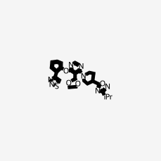 CC(C)c1noc(C2CCN(c3ncnc(Oc4ccccc4-c4csnn4)c3C3OCCO3)CC2)n1